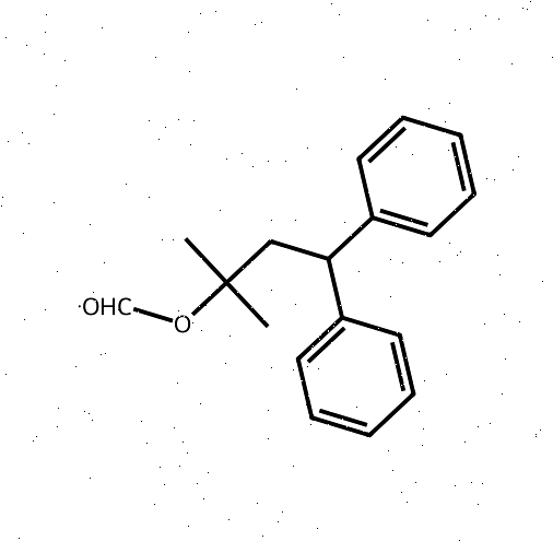 CC(C)(CC(c1ccccc1)c1ccccc1)O[C]=O